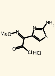 CO/N=C(\C(=O)Cl)c1csc(N)n1.Cl